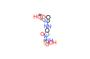 C[C@@H](O)COc1cccc2cc(-c3nc4cc5c(cc4n3C)CCN(C[C@@H](CF)NC(=O)O)C5=O)n(CC3CC3)c12